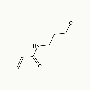 C=CC(=O)NCCC[O]